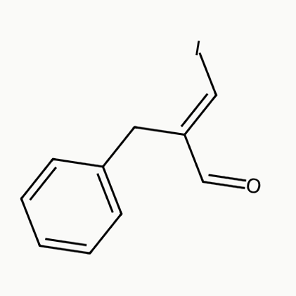 O=C/C(=C/I)Cc1ccccc1